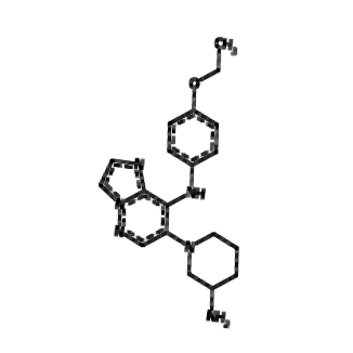 CCOc1ccc(Nc2c(N3CCCC(N)C3)cnn3ccnc23)cc1